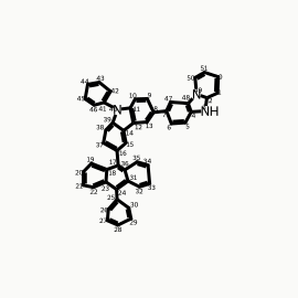 C1=CC2Nc3ccc(-c4ccc5c(c4)c4cc(-c6c7ccccc7c(-c7ccccc7)c7ccccc67)ccc4n5-c4ccccc4)cc3N2C=C1